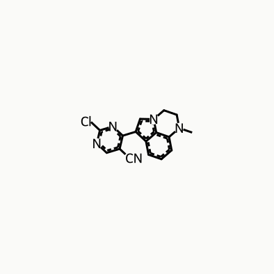 CN1CCn2cc(-c3nc(Cl)ncc3C#N)c3cccc1c32